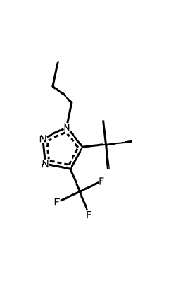 CCCn1nnc(C(F)(F)F)c1C(C)(C)C